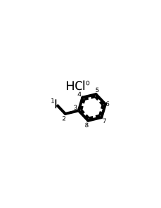 Cl.ICc1ccccc1